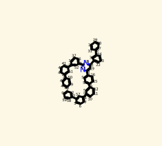 c1ccc(-c2cccc(-c3cccc(-c4ccc(-c5cc(-c6cccc(-c7ccccc7)c6)nc(-c6cccc(-c7cccc(-c8ccccc8)c7)c6)n5)cc4)c3)c2)cc1